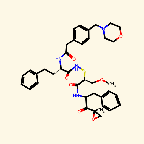 COC[C@H](SNC(=O)[C@H](CCc1ccccc1)NC(=O)Cc1ccc(CN2CCOCC2)cc1)C(=O)NC(Cc1ccccc1)C(=O)C1(C)CO1